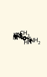 CC(=N)S[C@H](CCc1nnco1)Cc1ccc(CCSC(=N)N)cc1